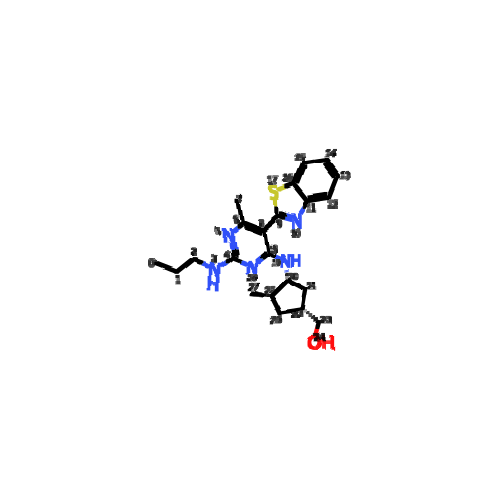 CCCNc1nc(C)c(-c2nc3ccccc3s2)c(N[C@@H]2C[C@H](CO)C[C@H]2C)n1